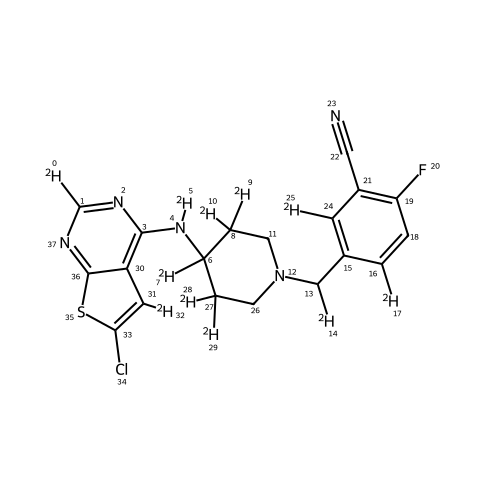 [2H]c1nc(N([2H])C2([2H])C([2H])([2H])CN(C([2H])c3c([2H])cc(F)c(C#N)c3[2H])CC2([2H])[2H])c2c([2H])c(Cl)sc2n1